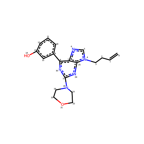 C=CCCn1cnc2c(-c3cccc(O)c3)nc(N3CCOCC3)nc21